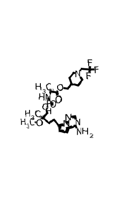 CO[C@@](C)(CCc1ccc2c(N)ncnn12)CO[PH](=O)N[C@@H](C)C(=O)OCC1CCN(CC(F)(F)F)CC1